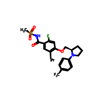 CC(C)c1cc(C(=O)NS(C)(=O)=O)c(F)cc1OC[C@H]1CCCN1c1ccc(C(F)(F)F)cc1